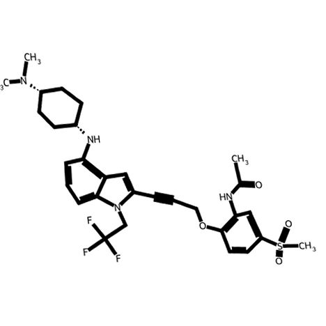 CC(=O)Nc1cc(S(C)(=O)=O)ccc1OCC#Cc1cc2c(N[C@H]3CC[C@@H](N(C)C)CC3)cccc2n1CC(F)(F)F